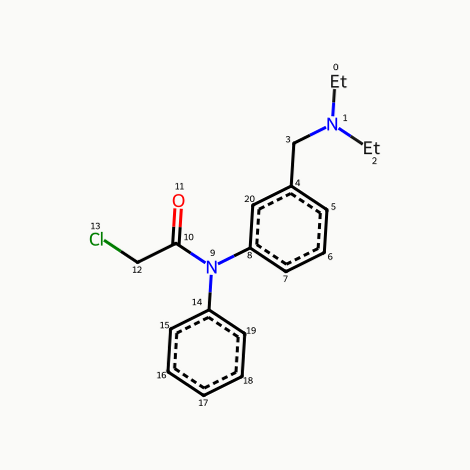 CCN(CC)Cc1cccc(N(C(=O)CCl)c2ccccc2)c1